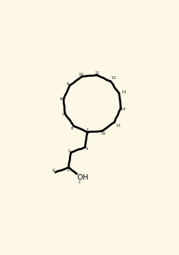 CC(O)CCC1CCCCCCCCCCC1